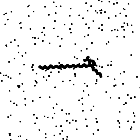 CCCCCCCCCCCCCCCCCCC1N(CCCCC)C=CN1C(C)C